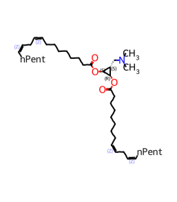 CCCCC/C=C\C/C=C\CCCCCCCC(=O)O[C@@H]1[C@@H](CN(C)C)[C@@H]1OC(=O)CCCCCCC/C=C\C/C=C\CCCCC